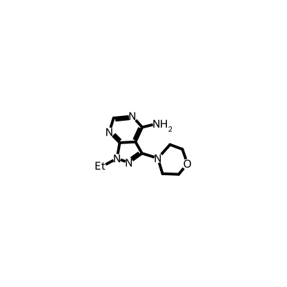 [CH2]Cn1nc(N2CCOCC2)c2c(N)ncnc21